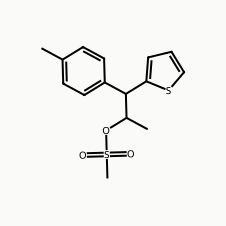 Cc1ccc(C(c2cccs2)C(C)OS(C)(=O)=O)cc1